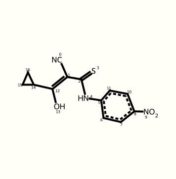 N#CC(C(=S)Nc1ccc([N+](=O)[O-])cc1)=C(O)C1CC1